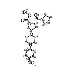 CC(C)(C)OC(=O)N1C[C@@H](N2CCN(c3ccc([N+](=O)[O-])cn3)CC2)C[C@H]1C(=O)N1CCSC1